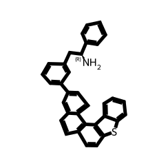 N[C@H](Cc1cccc(-c2ccc3c(ccc4ccc5sc6ccccc6c5c43)c2)c1)c1ccccc1